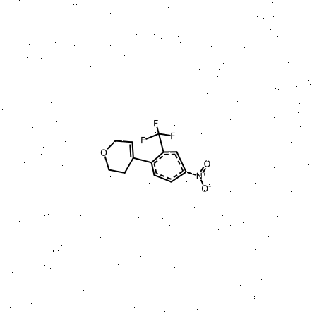 O=[N+]([O-])c1ccc(C2=CCOCC2)c(C(F)(F)F)c1